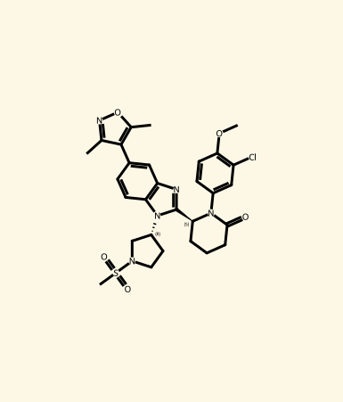 COc1ccc(N2C(=O)CCC[C@H]2c2nc3cc(-c4c(C)noc4C)ccc3n2[C@@H]2CCN(S(C)(=O)=O)C2)cc1Cl